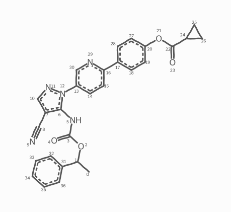 CC(OC(=O)Nc1c(C#N)cnn1-c1ccc(-c2ccc(OC(=O)C3CC3)cc2)nc1)c1ccccc1